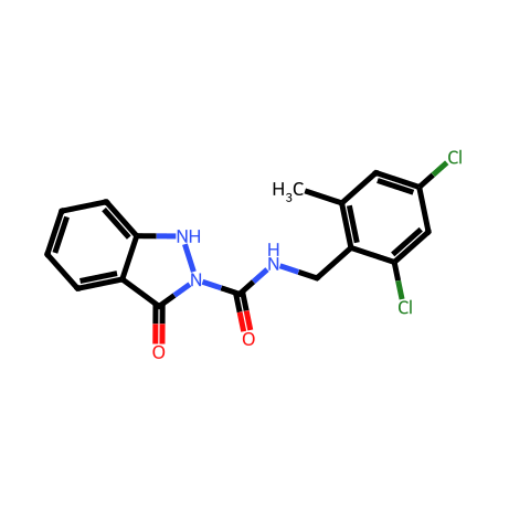 Cc1cc(Cl)cc(Cl)c1CNC(=O)n1[nH]c2ccccc2c1=O